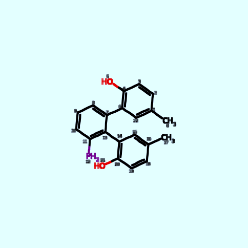 Cc1ccc(O)c(-c2cccc(P)c2-c2cc(C)ccc2O)c1